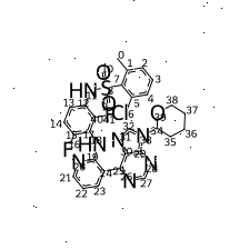 Cc1cccc(Cl)c1S(=O)(=O)Nc1ccc(F)c(Nc2ncccc2-c2ncnc3c2ncn3C2CCCCO2)c1F